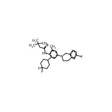 Cc1cc(N2CCc3cc(F)ccc3C2)cc(C2CCC(F)(F)CC2)c1NC(=O)CC(C)(C)C